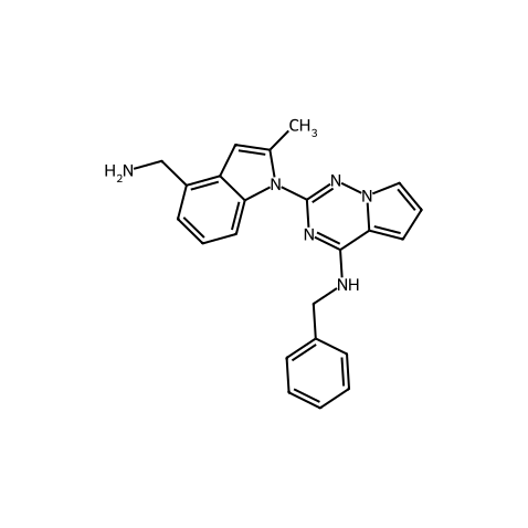 Cc1cc2c(CN)cccc2n1-c1nc(NCc2ccccc2)c2cccn2n1